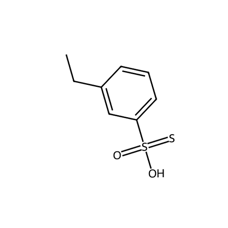 CCc1cccc(S(=O)(O)=S)c1